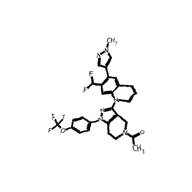 CC(=O)N1CCc2c(c(N3CCCc4cc(-c5cnn(C)c5)c(C(F)F)cc43)nn2-c2ccc(OC(F)(F)F)cc2)C1